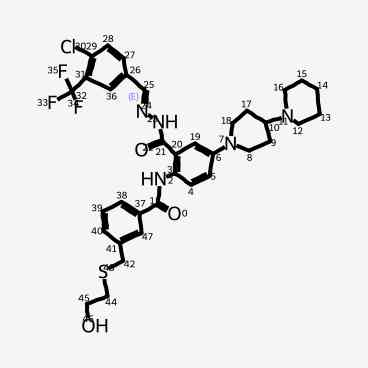 O=C(Nc1ccc(N2CCC(N3CCCCC3)CC2)cc1C(=O)N/N=C/c1ccc(Cl)c(C(F)(F)F)c1)c1cccc(CSCCO)c1